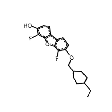 CCC1CCC(COc2ccc3c(oc4c(F)c(O)ccc43)c2F)CC1